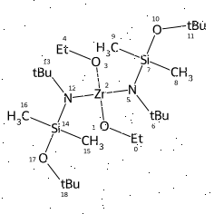 CC[O][Zr]([O]CC)([N](C(C)(C)C)[Si](C)(C)OC(C)(C)C)[N](C(C)(C)C)[Si](C)(C)OC(C)(C)C